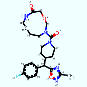 O=C1COCN(C(=O)N2CCC(C(c3ccc(F)cc3)c3nc(C(F)(F)F)no3)CC2)CCCCN1